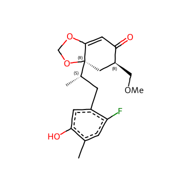 COC[C@H]1C[C@]2([C@@H](C)Cc3cc(O)c(C)cc3F)OCOC2=CC1=O